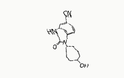 N#Cc1ccc2c(c1)[nH]c(=O)n2C1CCC(O)CC1